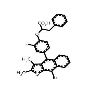 Cc1sc2c(Br)c3ccccc3c(-c3ccc(OC(Cc4ccccc4)C(=O)O)c(F)c3)c2c1C